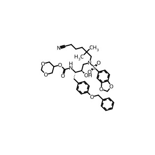 CC(C)(CCCC#N)CN(C[C@@H](O)[C@H](Cc1ccc(OCc2ccccc2)cc1)NC(=O)OC1COCOC1)S(=O)(=O)c1ccc2c(c1)OCO2